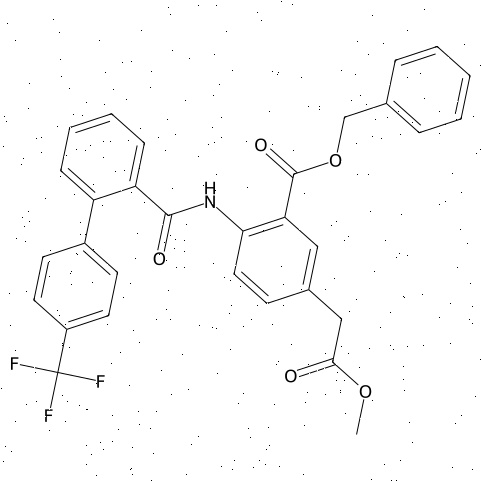 COC(=O)Cc1ccc(NC(=O)c2ccccc2-c2ccc(C(F)(F)F)cc2)c(C(=O)OCc2ccccc2)c1